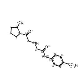 N#CC1CCCN1C(=O)CNCC(=O)Nc1ccc(C(=O)O)cc1